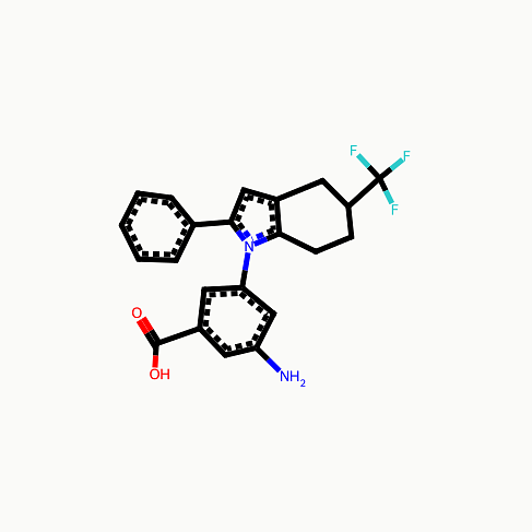 Nc1cc(C(=O)O)cc(-n2c(-c3ccccc3)cc3c2CCC(C(F)(F)F)C3)c1